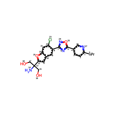 CCCc1ccc(-c2nc(-c3cc4cc(C(N)(CO)CO)oc4cc3Cl)no2)cn1